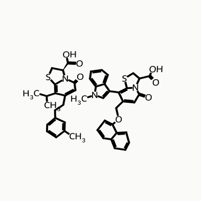 Cc1cccc(CCc2cc(=O)n3c(c2C(C)C)SC[C@H]3C(=O)O)c1.Cn1cc(-c2c(COc3cccc4ccccc34)cc(=O)n3c2SCC3C(=O)O)c2ccccc21